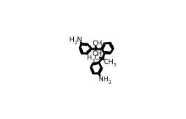 CC(C)(c1cccc(N)c1)c1ccccc1C(C)(C)c1cccc(N)c1